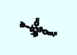 Cc1c(C#Cc2cnn(C)c2)sc2c1C(c1ccc(Cl)cc1)=N[C@@H](CC(=O)N1CCN(C(=O)O)CC1)c1nnc(C)n1-2